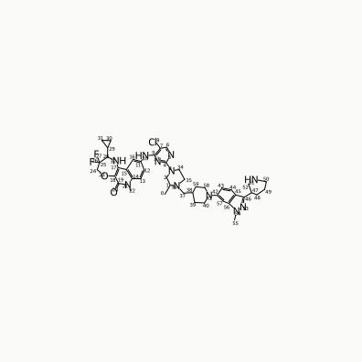 CC1CN(c2ncc(Cl)c(Nc3ccc4c(c3)c3c(c(=O)n4C)OCC(F)(F)C(C4CC4)N3)n2)CCN1CC1CCN(c2ccc3c(C4CCCNC4)nn(C)c3c2)CC1